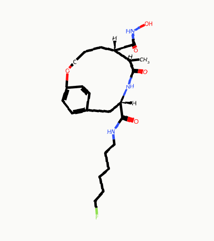 C[C@H]1C(=O)N[C@H](C(=O)NCCCCCCF)Cc2ccc(cc2)OCCC[C@@H]1C(=O)NO